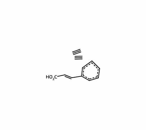 C#C.C#C.O=C(O)/C=C/c1ccccc1